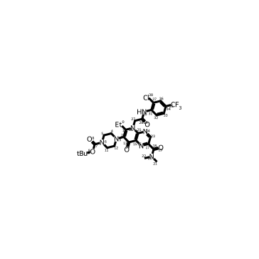 CCc1c(N2CCN(C(=O)OC(C)(C)C)CC2)c(=O)c2nc(C(=O)N(C)C)cnc2n1CC(=O)Nc1ccc(C(F)(F)F)cc1Cl